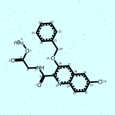 CCCCOC(=O)CNC(=O)c1nc2ccc(Cl)cc2cc1OCc1ccccc1